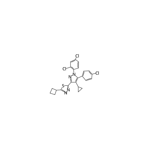 Clc1ccc(-c2c(C3CC3)c(-c3nnc(C4CCC4)s3)nn2-c2ccc(Cl)cc2Cl)cc1